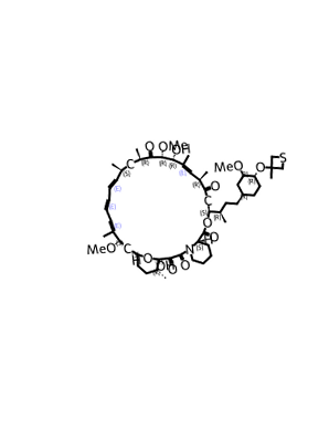 CO[C@H]1C[C@@H]2CC[C@@H](C)[C@@](O)(O2)C(=O)C(=O)N2CCCC[C@H]2C(=O)O[C@H]([C@H](C)CC[C@@H]2CC[C@@H](OC3(C)CSC3)[C@H](OC)C2)CC(=O)[C@H](C)/C=C(\C)[C@@H](O)[C@@H](OC)C(=O)[C@H](C)C[C@H](C)/C=C/C=C/C=C/1C